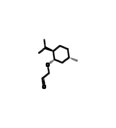 CC(C)[C@H]1CC[C@H](C)C[C@@H]1OCC=O